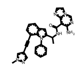 CC(NC(=O)c1c(N)ncn2ccnc12)c1cc2cccc(C#Cc3cnn(C)c3)c2n1-c1ccccc1